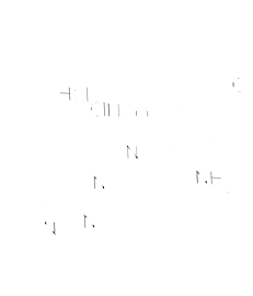 CC1CCc2ncnc(N3CCN(C(=O)C(CN)c4ccc(Cl)cc4)CC3)c21.Cl.Cl